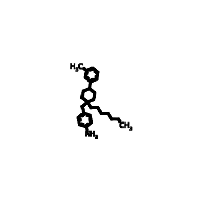 CCCCCCCC1(Cc2ccc(N)cc2)CCC(c2cccc(C)c2)CC1